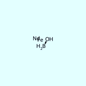 BO.[Fe].[Nd]